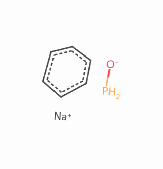 [Na+].[O-]P.c1ccccc1